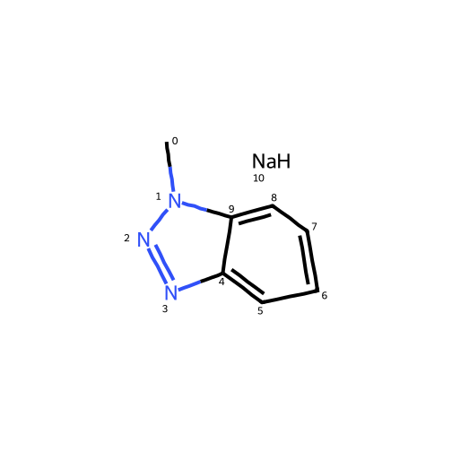 Cn1nnc2ccccc21.[NaH]